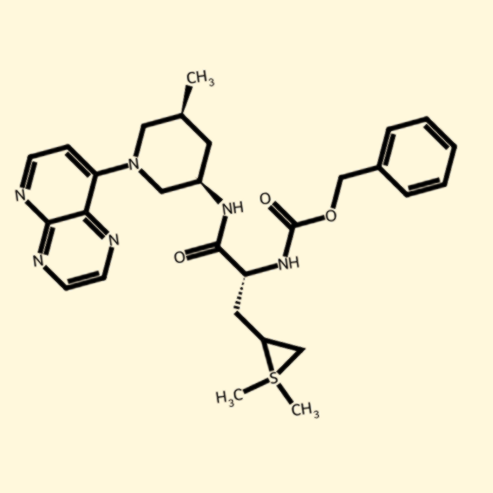 C[C@H]1C[C@@H](NC(=O)[C@@H](CC2CS2(C)C)NC(=O)OCc2ccccc2)CN(c2ccnc3nccnc23)C1